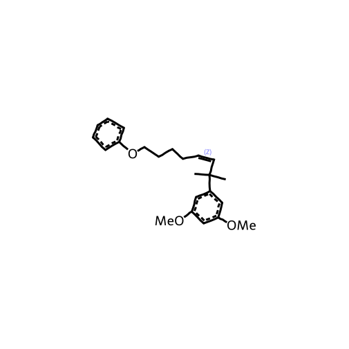 COc1cc(OC)cc(C(C)(C)/C=C\CCCCOc2ccccc2)c1